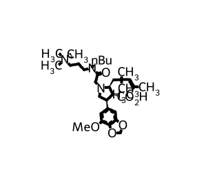 CCCCN(CCC[N+](C)(C)C)C(=O)CN1C[C@H](c2cc(OC)c3c(c2)OCO3)[C@@H](C(=O)O)[C@@H]1CC(C)(C)C=C(C)C